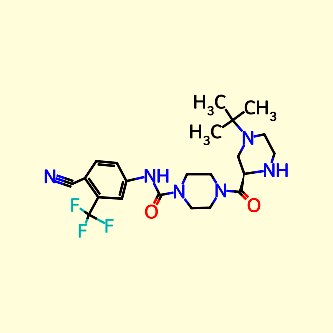 CC(C)(C)N1CCN[C@@H](C(=O)N2CCN(C(=O)Nc3ccc(C#N)c(C(F)(F)F)c3)CC2)C1